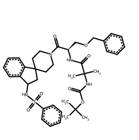 CC(C)(C)OC(=O)NC(C)(C)C(=O)N[C@H](COCc1ccccc1)C(=O)N1CCC2(CC1)CC(NS(=O)(=O)c1ccccc1)c1ccccc12